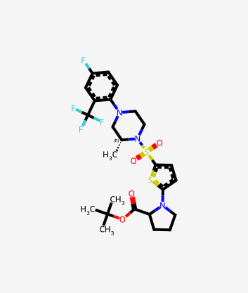 C[C@@H]1CN(c2ccc(F)cc2C(F)(F)F)CCN1S(=O)(=O)c1ccc(N2CCCC2C(=O)OC(C)(C)C)s1